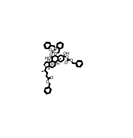 C[C@H](CCC(=O)OCc1ccccc1)[C@H]1CC[C@H]2[C@H]3[C@H](CC[C@]12C)[C@@]1(C)CC[C@@](O)(OC(=O)OCc2ccccc2)CC1C[C@@]3(O)OP(=O)(OCc1ccccc1)OCc1ccccc1